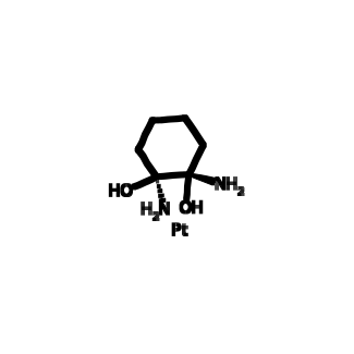 N[C@]1(O)CCCC[C@]1(N)O.[Pt]